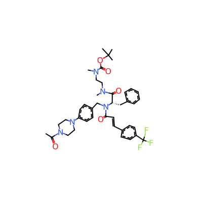 CC(=O)N1CCN(c2ccc(CN(C(=O)C=Cc3ccc(C(F)(F)F)cc3)[C@@H](Cc3ccccc3)C(=O)N(C)CCN(C)C(=O)OC(C)(C)C)cc2)CC1